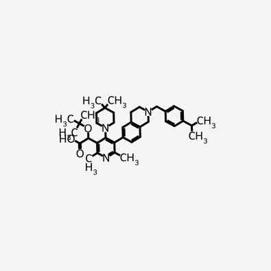 Cc1nc(C)c(C(OC(C)(C)C)C(=O)O)c(N2CCC(C)(C)CC2)c1-c1ccc2c(c1)CCN(Cc1ccc(C(C)C)cc1)C2